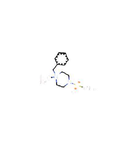 CCCCCCCCCS(=O)(=O)N1CC[N+](C)(Cc2ccccc2)CC1.[Br-]